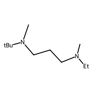 CCN(C)CCCN(C)C(C)(C)C